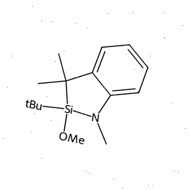 CO[Si]1(C(C)(C)C)N(C)c2ccccc2C1(C)C